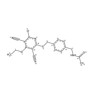 CCOc1c(C#N)c(Cl)nc(SCc2ccc(CNC(C)=O)cc2)c1C#N